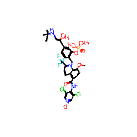 COc1ccc(C(=O)Nc2c(Cl)c[n+]([O-])cc2Cl)c2ccc(C(F)(F)F)[n+](Cc3ccc(C(O)CNC(C)(C)C)cc3OP(=O)(O)O)c12